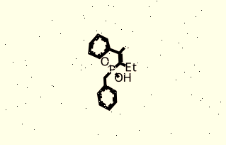 [CH2]C(=C(CC)P(=O)(O)Cc1ccccc1)c1ccccc1